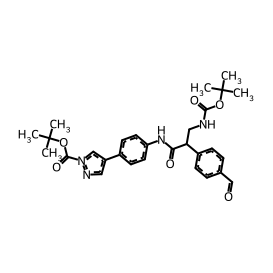 CC(C)(C)OC(=O)NCC(C(=O)Nc1ccc(-c2cnn(C(=O)OC(C)(C)C)c2)cc1)c1ccc(C=O)cc1